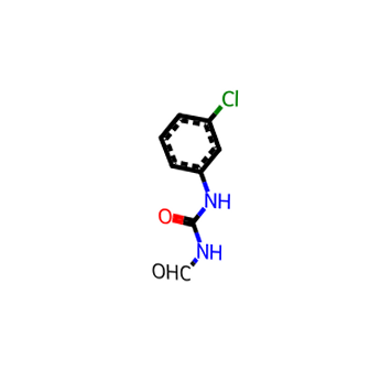 O=CNC(=O)Nc1cccc(Cl)c1